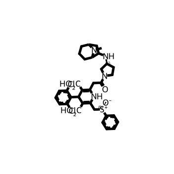 CN1C2CCCC1C(N[C@H]1CCN(C(=O)CC3=C(C(=O)O)C(c4c(Cl)cccc4Cl)C(C(=O)O)=C(C[S@+]([O-])c4ccccc4)N3)C1)C2